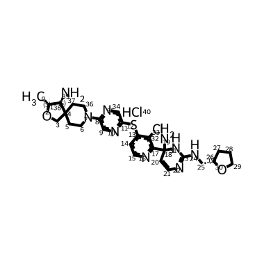 C[C@@H]1OCC2(CCN(c3cnc(Sc4ccnc(C5(N)C=CN=C(NC[C@@H]6CCCO6)N5)c4Cl)cn3)CC2)[C@@H]1N.Cl